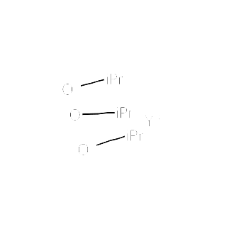 CC(C)[O-].CC(C)[O-].CC(C)[O-].[Y+3]